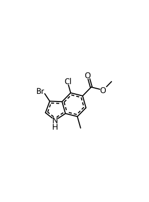 COC(=O)c1cc(C)c2[nH]cc(Br)c2c1Cl